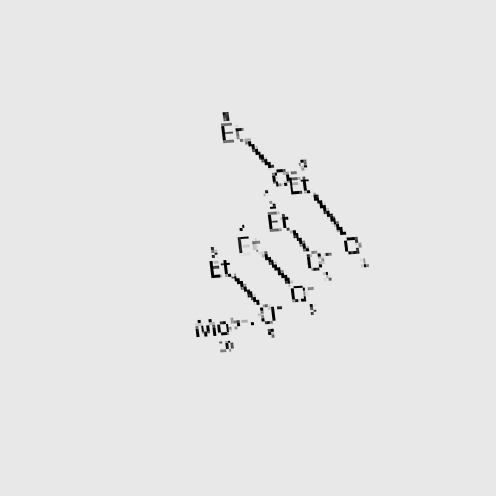 CC[O-].CC[O-].CC[O-].CC[O-].CC[O-].[Mo+5]